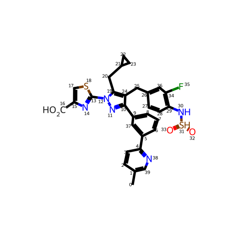 Cc1ccc(-c2cccc(-c3nn(-c4nc(C(=O)O)cs4)c(CC4CC4)c3Cc3ccc(N[SH](=O)=O)c(F)c3)c2)nc1